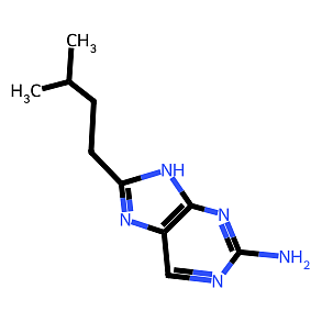 CC(C)CCc1nc2cnc(N)nc2[nH]1